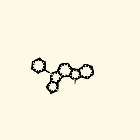 c1ccc(-n2c3ccsc3c3c4[nH]c5ccccc5c4ccc32)cc1